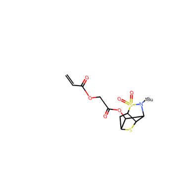 C=CC(=O)OCC(=O)OC1C2CC3C(S2)C1N(C(C)(C)C)S3(=O)=O